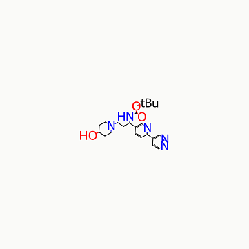 CC(C)(C)OC(=O)N[C@H](CCN1CCC(O)CC1)c1ccc(-c2ccnnc2)nc1